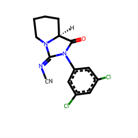 N#C/N=C1\N(c2cc(Cl)cc(Cl)c2)C(=O)[C@@H]2CCCCN12